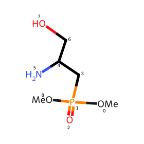 COP(=O)(CC(N)CO)OC